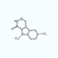 Cn1c2ccc(C(F)(F)F)cc2c2cn[nH]c(=O)c21